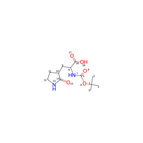 CC(C)(C)OC(=O)NC(CC1CCNC1=O)C(=O)O